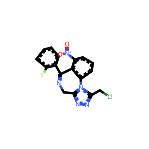 O=[N+]([O-])c1cccc2c1C(c1ccccc1F)=NCc1nnc(CCl)n1-2